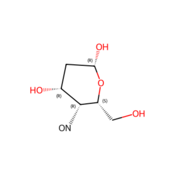 O=N[C@@H]1[C@H](O)C[C@H](O)O[C@@H]1CO